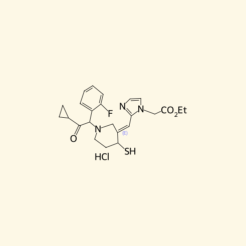 CCOC(=O)Cn1ccnc1/C=C1\CN(C(C(=O)C2CC2)c2ccccc2F)CCC1S.Cl